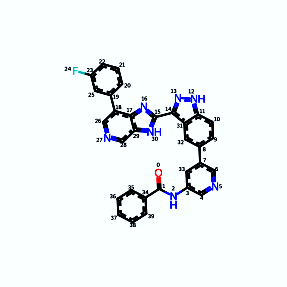 O=C(Nc1cncc(-c2ccc3[nH]nc(-c4nc5c(-c6cccc(F)c6)cncc5[nH]4)c3c2)c1)c1ccccc1